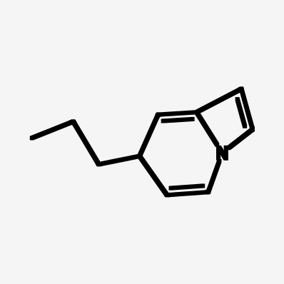 CCCC1C=CN2C=CC2=C1